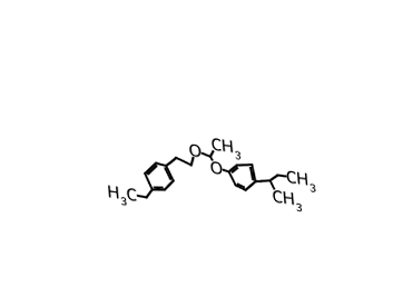 CCc1ccc(CCOC(C)Oc2ccc(C(C)CC)cc2)cc1